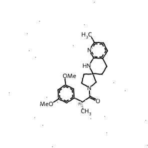 COc1cc(OC)cc([C@@H](C)C(=O)N2CCC3(CCc4ccc(C)nc4N3)C2)c1